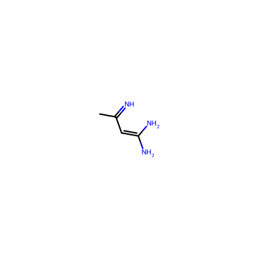 CC(=N)C=C(N)N